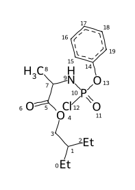 CCC(CC)COC(=O)C(C)NP(=O)(Cl)Oc1ccccc1